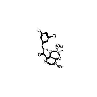 CC(C)n1cnc(C(=O)NCc2cc(Cl)cc(Cl)c2)c(O[Si](C)(C)C(C)(C)C)c1=O